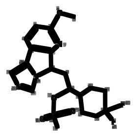 COc1ccc2c(n1)C(CC(OS(C)(=O)=O)C1CCC(F)(F)CC1)n1cncc1-2